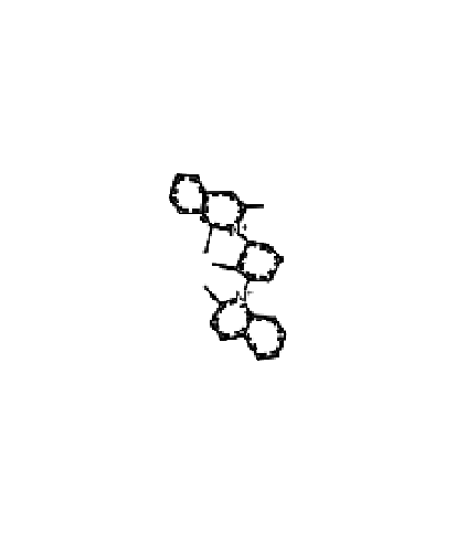 Cc1c(-[n+]2c(C)cc3ccccc3c2C)cccc1-[n+]1c(C)ccc2ccccc21